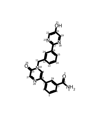 NC(=O)c1cccc(-c2cn(Cc3cccc(-c4ncc(O)cn4)c3)c(=O)cn2)c1